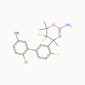 CC1(C)OC(N)=NC(C)(c2cc(-c3cc(C#N)ccc3Cl)ccc2F)C1(F)F